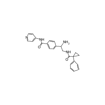 NC(CNC(=O)C1(c2ccccc2)CC1)c1ccc(C(=O)Nc2ccncc2)cc1